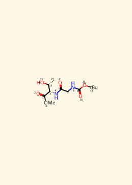 COC(=O)[C@@H](NC(=O)CNC(=O)OC(C)(C)C)[C@@H](C)O